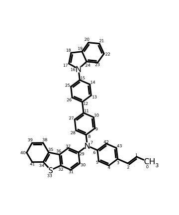 C/C=C/c1ccc(N(c2ccc(-c3ccc(-n4ccc5ccccc54)cc3)cc2)c2ccc3sc4c(c3c2)C=CCC4)cc1